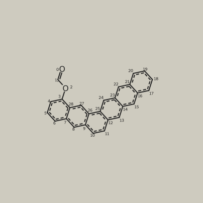 O=[C]Oc1cccc2cc3ccc4cc5cc6ccccc6cc5cc4c3cc12